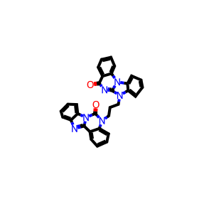 O=c1nc2n(CCCn3c(=O)n4c5ccccc5nc4c4ccccc43)c3ccccc3n2c2ccccc12